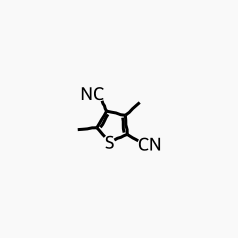 Cc1sc(C#N)c(C)c1C#N